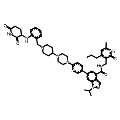 CCCc1cc(C)[nH]c(=O)c1CNC(=O)c1cc(-c2ccc(N3CCN(C4CCN(Cc5ccccc5NC5CCC(=O)NC5=O)CC4)CC3)nc2)cc2c1cnn2C(C)C